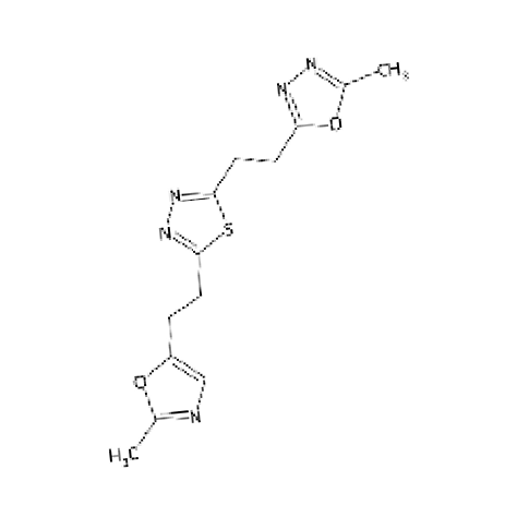 Cc1ncc(CCc2nnc(CCc3nnc(C)o3)s2)o1